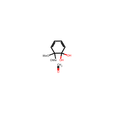 C=O.COC1(OC)C=CC=CC1(O)O